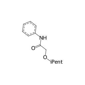 CCCC(C)OCC(=O)Nc1ccccc1